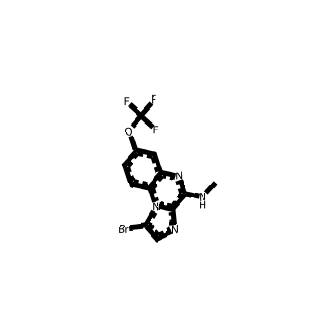 CNc1nc2cc(OC(F)(F)F)ccc2n2c(Br)cnc12